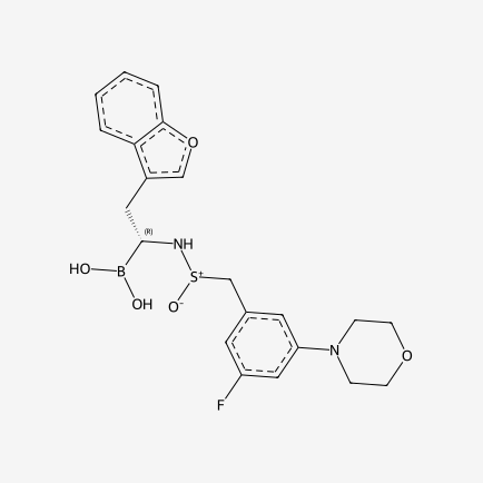 [O-][S+](Cc1cc(F)cc(N2CCOCC2)c1)N[C@@H](Cc1coc2ccccc12)B(O)O